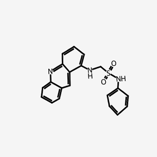 O=S(=O)(CNc1cccc2nc3ccccc3cc12)Nc1ccccc1